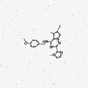 COc1ccc(CNc2nc(-c3nccn3C)nn3cc(I)c(C)c23)cc1